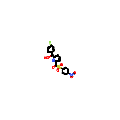 O=C(c1cccc(C(O)c2ccc(F)cc2)n1)S(=O)(=O)c1ccc([N+](=O)[O-])cc1